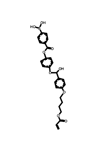 C=CC(=O)OCCCCOc1ccc(C(O)Oc2ccc(OC(=O)c3ccc(B(O)O)cc3)cc2)cc1